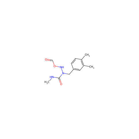 CNC(=O)N(Cc1ccc(C)c(C)c1)NOC=O